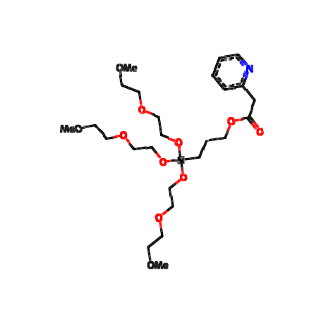 COCCOCCO[Si](CCCOC(=O)Cc1ccccn1)(OCCOCCOC)OCCOCCOC